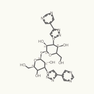 OCC1O[C@@H](S[C@@H]2O[C@H](CO)C(O)C(n3cc(-c4cncnc4)nn3)[C@H]2O)[C@@H](O)C(n2cc(-c3cncnc3)nn2)[C@H]1O